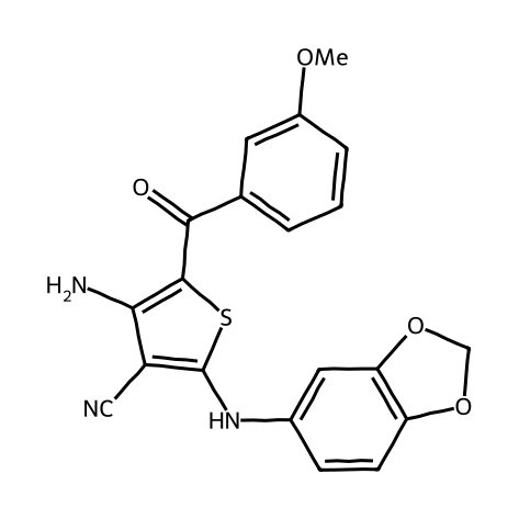 COc1cccc(C(=O)c2sc(Nc3ccc4c(c3)OCO4)c(C#N)c2N)c1